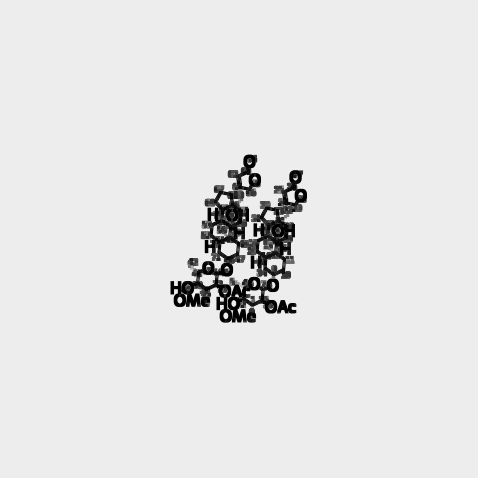 CO[C@@H]1[C@@H](O)[C@H](C)O[C@@H](O[C@H]2CC[C@@]3(C)[C@H](CC[C@@H]4[C@@H]3CC[C@]3(C)[C@@H](C5=CC(=O)OC5)CC[C@]43O)C2)[C@H]1OC(C)=O.CO[C@@H]1[C@@H](O)[C@H](C)O[C@@H](O[C@H]2CC[C@@]3(C)[C@H](CC[C@@H]4[C@@H]3CC[C@]3(C)[C@@H](C5=CC(=O)OC5)CC[C@]43O)C2)[C@H]1OC(C)=O